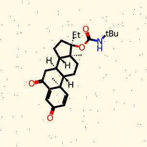 CC[C@@]1(OC(=O)NC(C)(C)C)CC[C@H]2[C@@H]3CC(=O)C4=CC(=O)C=C[C@]4(C)[C@H]3CC[C@@]21C